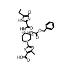 CCc1[nH]c(C(=O)N[C@H]2CCN(c3nc(C)c(C(=O)O)s3)C[C@@H]2NC(=O)OCc2ccccc2)nc1Cl